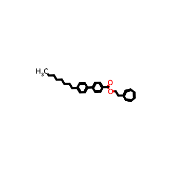 CCCCCCCCc1ccc(-c2ccc(C(=O)OCCC3=C=CC=CC=C3)cc2)cc1